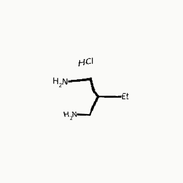 CCC(CN)CN.Cl